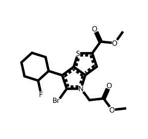 COC(=O)Cn1c(Br)c(C2CCCCC2F)c2sc(C(=O)OC)cc21